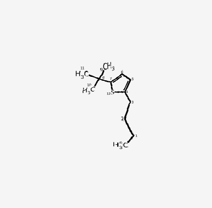 CCCCc1ccc(C(C)(C)C)s1